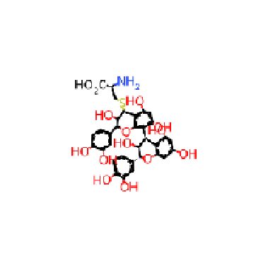 N[C@@H](CS[C@H]1c2c(O)cc(O)c([C@H]3c4c(O)cc(O)cc4O[C@H](c4ccc(O)c(O)c4)C3O)c2OC(c2ccc(O)c(O)c2)C1O)C(=O)O